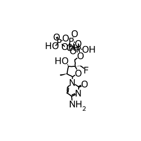 C[C@@H]1C(n2ccc(N)nc2=O)O[C@](CF)(COP(=O)(O)OP(=O)(O)OP(=O)(O)O)[C@H]1O